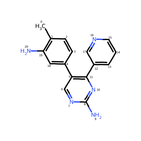 Cc1ccc(-c2cnc(N)nc2-c2cccnc2)cc1N